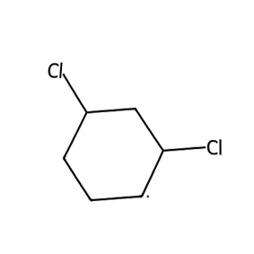 ClC1[CH]CCC(Cl)C1